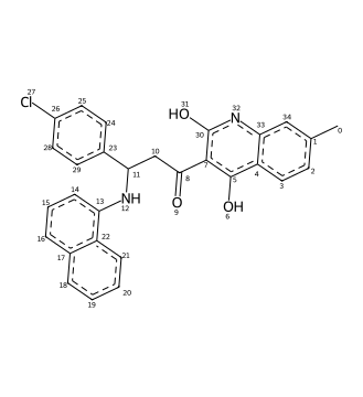 Cc1ccc2c(O)c(C(=O)CC(Nc3cccc4ccccc34)c3ccc(Cl)cc3)c(O)nc2c1